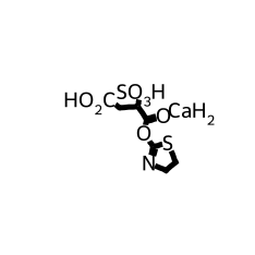 O=C(O)CC(C(=O)OC1=NCCS1)S(=O)(=O)O.[CaH2]